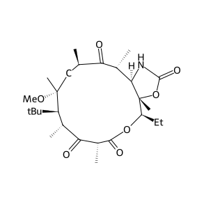 CC[C@H]1OC(=O)[C@H](C)C(=O)[C@H](C)[C@@H](C(C)(C)C)[C@](C)(OC)C[C@@H](C)C(=O)[C@H](C)[C@H]2NC(=O)O[C@@]21C